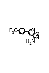 Nc1noc2ncc(-c3ccc(C(F)(F)F)cc3)cc12